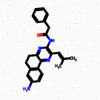 CC(C)=Cc1nc2c(nc1NC(=O)Cc1ccccc1)CCc1cc(N)ccc1-2